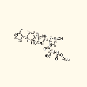 Cc1ncsc1-c1ccc([C@]2(C)NC(C3C[C@@H](O)CN3C(=O)[C@@H](NC(=O)OC(C)(C)C)C(C)(C)C)=NC2O)cc1